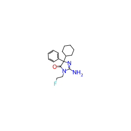 NC1=NC(c2ccccc2)(C2CCCCC2)C(=O)N1CCF